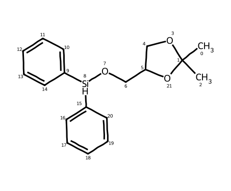 CC1(C)OCC(CO[SiH](c2ccccc2)c2ccccc2)O1